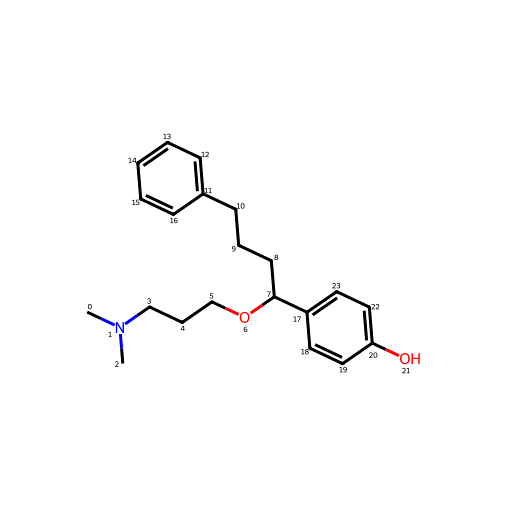 CN(C)CCCOC(CCCc1ccccc1)c1ccc(O)cc1